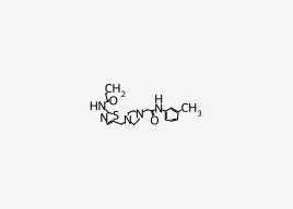 C=CC(=O)Nc1ncc(CN2CCN(CC(=O)Nc3cccc(C)c3)CC2)s1